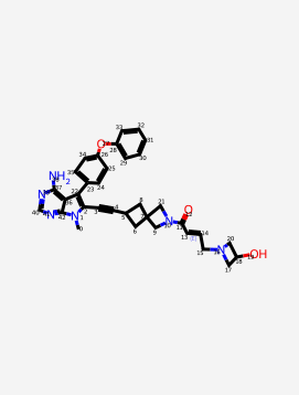 Cn1c(C#CC2CC3(C2)CN(C(=O)/C=C/CN2CC(O)C2)C3)c(-c2ccc(Oc3ccccc3)cc2)c2c(N)ncnc21